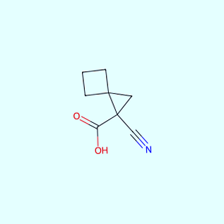 N#CC1(C(=O)O)CC12CCC2